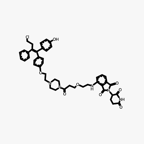 O=C1CCC(N2C(=O)c3cccc(NCCOCCC(=O)N4CCN(CCOc5ccc(C(=C(CCCl)c6ccccc6)c6ccc(O)cc6)cc5)CC4)c3C2=O)C(=O)N1